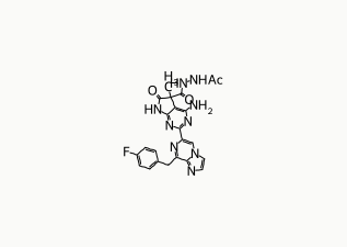 CC(=O)NNC(=O)C1(C)C(=O)Nc2nc(-c3cn4ccnc4c(Cc4ccc(F)cc4)n3)nc(N)c21